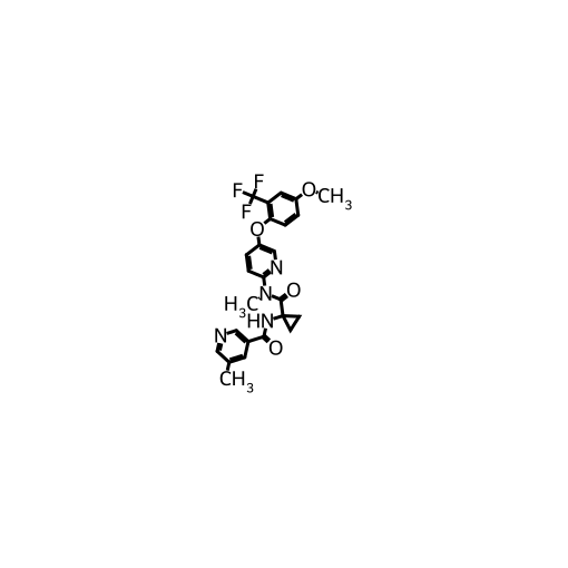 COc1ccc(Oc2ccc(N(C)C(=O)C3(NC(=O)c4cncc(C)c4)CC3)nc2)c(C(F)(F)F)c1